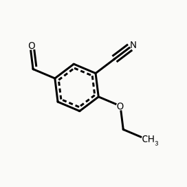 CCOc1ccc(C=O)cc1C#N